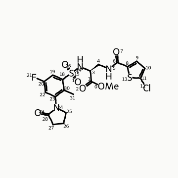 COC(=O)[C@H](CNC(=O)c1ccc(Cl)s1)NS(=O)(=O)c1cc(F)cc(N2CCCC2=O)c1C